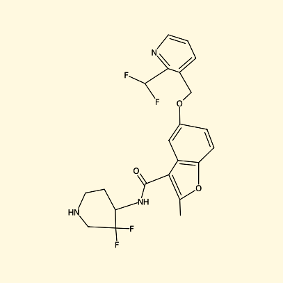 Cc1oc2ccc(OCc3cccnc3C(F)F)cc2c1C(=O)NC1CCNCC1(F)F